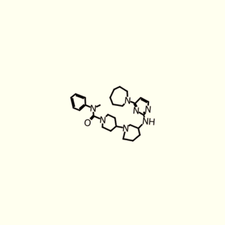 CN(C(=O)N1CCC(N2CCCC(Nc3nccc(N4CCCCCC4)n3)C2)CC1)c1ccccc1